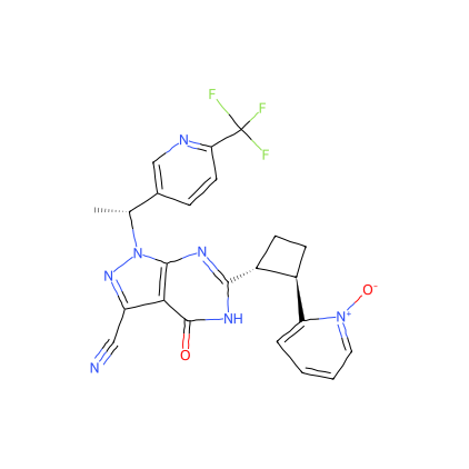 C[C@H](c1ccc(C(F)(F)F)nc1)n1nc(C#N)c2c(=O)[nH]c([C@@H]3CC[C@H]3c3cccc[n+]3[O-])nc21